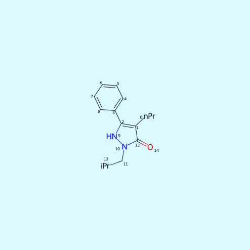 CCCc1c(-c2ccccc2)[nH]n(CC(C)C)c1=O